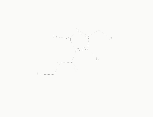 CCOC(=O)c1c(Br)c(CBr)nn1C